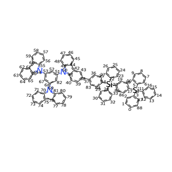 c1ccc([Si](c2ccccc2)(c2ccccc2)c2ccc([Si](c3ccccc3)(c3ccccc3)c3ccc(-c4ccc5c(c4)c4ccccc4n5-c4cc(-n5c6ccccc6c6ccccc65)cc(-n5c6ccccc6c6ccccc65)c4)cc3)cc2)cc1